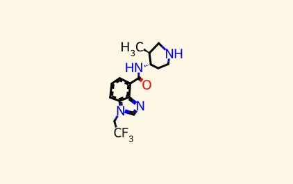 C[C@H]1CNCC[C@@H]1NC(=O)c1cccc2c1ncn2CC(F)(F)F